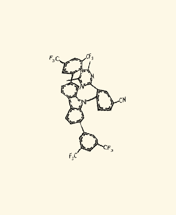 Cc1nc(C)nc(-c2cc(C#N)ccc2-n2c3cc(-c4cc(C(F)(F)F)cc(C(F)(F)F)c4)ccc3c3ccc(-c4cc(C(F)(F)F)cc(C(F)(F)F)c4)cc32)n1